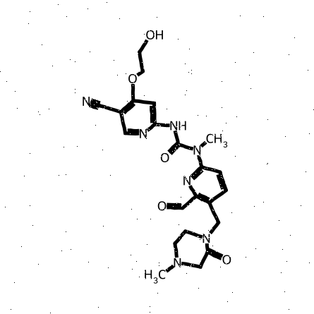 CN1CCN(Cc2ccc(N(C)C(=O)Nc3cc(OCCO)c(C#N)cn3)nc2C=O)C(=O)C1